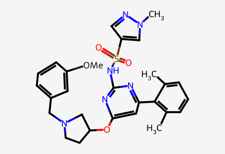 COc1cccc(CN2CCC(Oc3cc(-c4c(C)cccc4C)nc(NS(=O)(=O)c4cnn(C)c4)n3)C2)c1